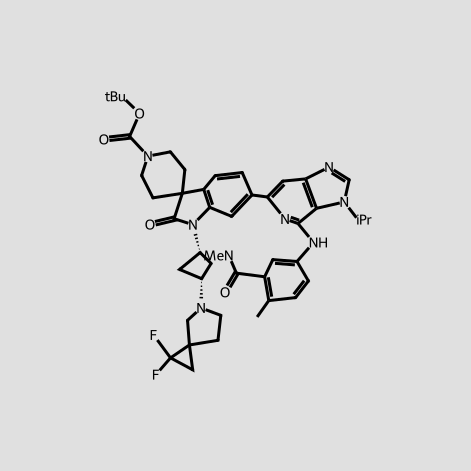 CNC(=O)c1cc(Nc2nc(-c3ccc4c(c3)N([C@H]3C[C@@H](N5CCC6(C5)CC6(F)F)C3)C(=O)C43CCN(C(=O)OC(C)(C)C)CC3)cc3ncn(C(C)C)c23)ccc1C